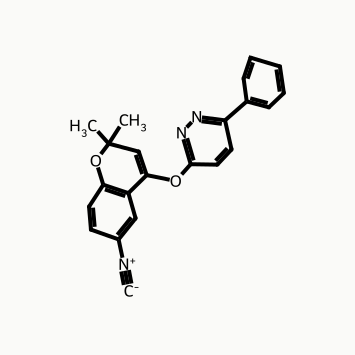 [C-]#[N+]c1ccc2c(c1)C(Oc1ccc(-c3ccccc3)nn1)=CC(C)(C)O2